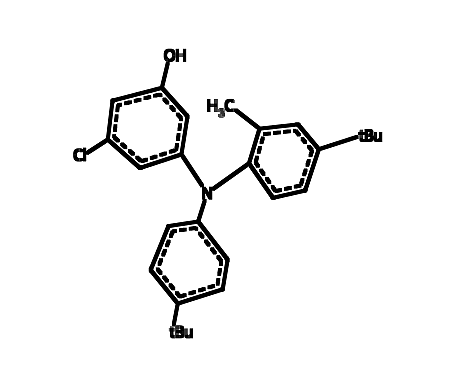 Cc1cc(C(C)(C)C)ccc1N(c1ccc(C(C)(C)C)cc1)c1cc(O)cc(Cl)c1